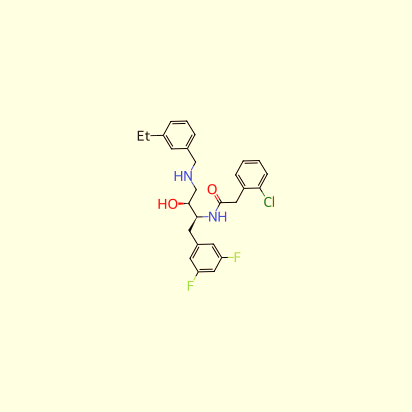 CCc1cccc(CNC[C@H](O)[C@H](Cc2cc(F)cc(F)c2)NC(=O)Cc2ccccc2Cl)c1